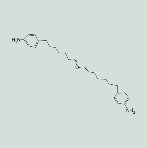 Nc1ccc(CCCCCCSOSCCCCCCc2ccc(N)cc2)cc1